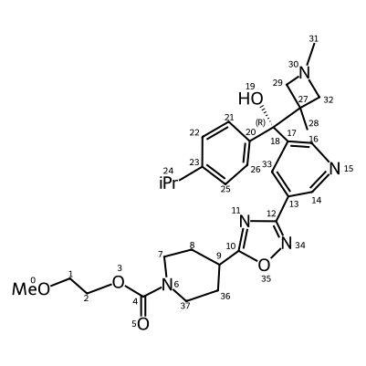 COCCOC(=O)N1CCC(c2nc(-c3cncc([C@@](O)(c4ccc(C(C)C)cc4)C4(C)CN(C)C4)c3)no2)CC1